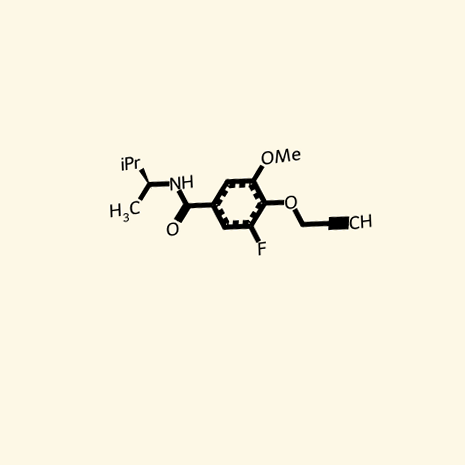 C#CCOc1c(F)cc(C(=O)N[C@@H](C)C(C)C)cc1OC